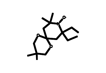 CCC1(CC)CC2(CC(C)(C)N1[O])OCC(C)(C)CO2